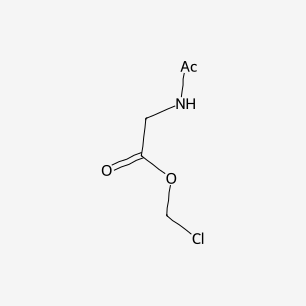 CC(=O)NCC(=O)OCCl